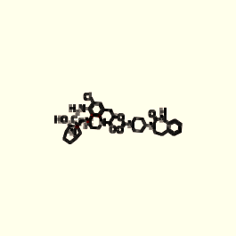 Nc1c(Cl)cc(C[C@@H](OC(=O)N2CCC(N3CCc4ccccc4NC3=O)CC2)C(=O)N2CCN(CC3CC4CCC(C3)N4CC(=O)O)CC2)cc1C(F)(F)F